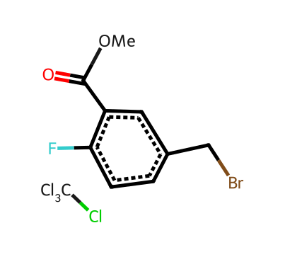 COC(=O)c1cc(CBr)ccc1F.ClC(Cl)(Cl)Cl